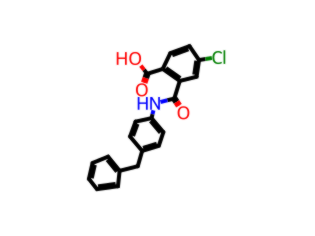 O=C(O)c1ccc(Cl)cc1C(=O)Nc1ccc(Cc2ccccc2)cc1